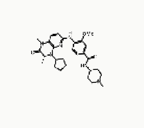 COc1cc(C(=O)NC2CCN(C)CC2)ccc1Nc1ccc2c(n1)N(C1CCCC1)[C@H](C)C(=O)N2C